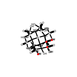 O=P(O)(O)C([N+](C(C(O)(P(=O)(O)O)P(=O)(O)O)(P(=O)(O)O)P(=O)(O)O)(C(P(=O)(O)O)(P(=O)(O)O)P(=O)(O)O)C(P(=O)(O)O)(P(=O)(O)O)P(=O)(O)O)P(=O)(O)O